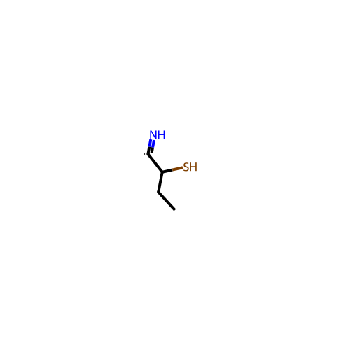 CCC(S)[C]=N